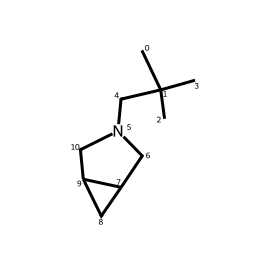 CC(C)(C)CN1CC2CC2C1